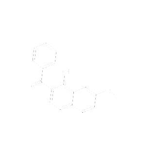 COc1ccc2ccc(C(=O)c3ccccc3)c(O)c2c1